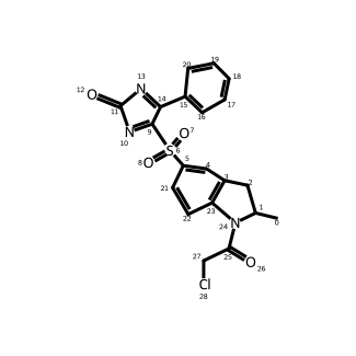 CC1Cc2cc(S(=O)(=O)C3=NC(=O)N=C3c3ccccc3)ccc2N1C(=O)CCl